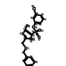 CC(C)c1nc(COCc2ccccc2)[nH]c1S(=O)(=O)Oc1cccc(Cl)c1